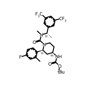 Cc1cc(F)ccc1[C@@H]1C[C@H](NC(=O)OC(C)(C)C)CCN1C(=O)N(C)[C@@H](C)c1cc(C(F)(F)F)cc(C(F)(F)F)c1